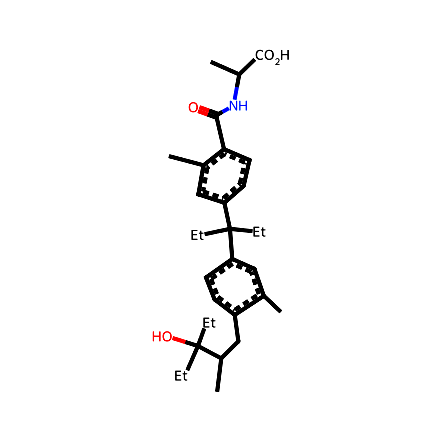 CCC(CC)(c1ccc(CC(C)C(O)(CC)CC)c(C)c1)c1ccc(C(=O)NC(C)C(=O)O)c(C)c1